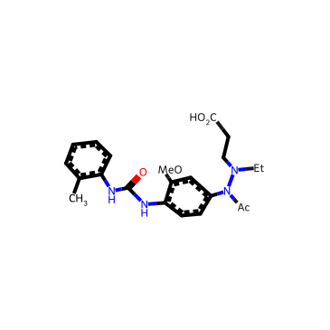 CCN(CCC(=O)O)N(C(C)=O)c1ccc(NC(=O)Nc2ccccc2C)c(OC)c1